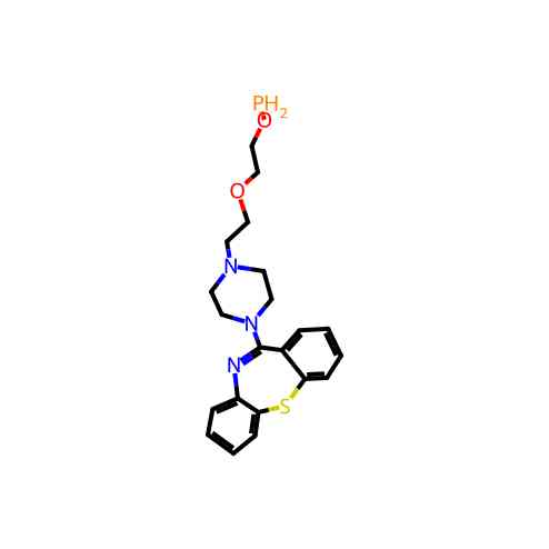 POCCOCCN1CCN(C2=Nc3ccccc3Sc3ccccc32)CC1